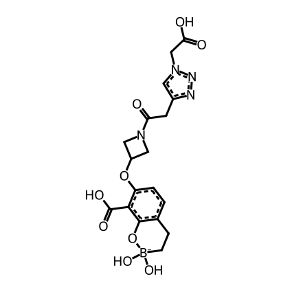 O=C(O)Cn1cc(CC(=O)N2CC(Oc3ccc4c(c3C(=O)O)O[B-](O)(O)CC4)C2)nn1